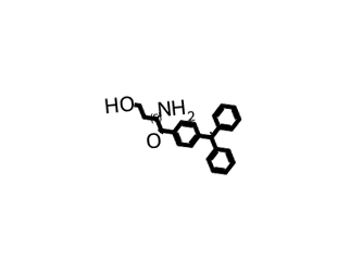 N[C@@H](CCO)C(=O)c1ccc([C](c2ccccc2)c2ccccc2)cc1